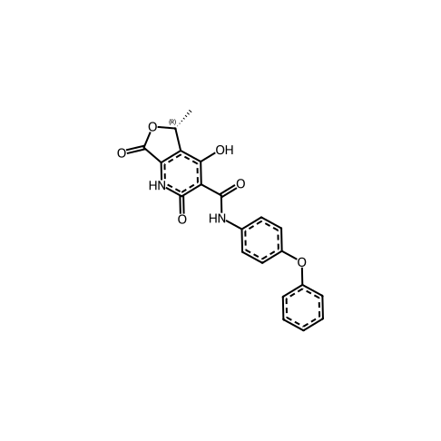 C[C@H]1OC(=O)c2[nH]c(=O)c(C(=O)Nc3ccc(Oc4ccccc4)cc3)c(O)c21